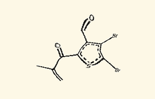 C=C(C)C(=O)c1sc(Br)c(Br)c1C=O